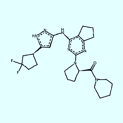 O=C([C@H]1CCCN1c1nc2c(c(Nc3cc([C@H]4CCC(F)(F)C4)[nH]n3)n1)CCC2)N1CCCCC1